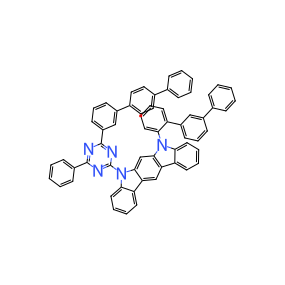 c1ccc(-c2ccc(-c3cccc(-c4nc(-c5ccccc5)nc(-n5c6ccccc6c6cc7c8ccccc8n(-c8ccccc8-c8cccc(-c9ccccc9)c8)c7cc65)n4)c3)cc2)cc1